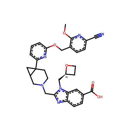 COc1nc(C#N)ccc1COc1cccc(C23CCN(Cc4nc5ccc(C(=O)O)cc5n4C[C@@H]4CCO4)CC2C3)n1